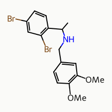 COc1ccc(CNC(C)c2ccc(Br)cc2Br)cc1OC